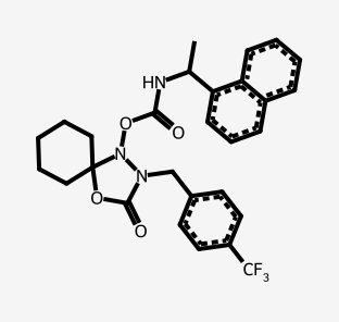 CC(NC(=O)ON1N(Cc2ccc(C(F)(F)F)cc2)C(=O)OC12CCCCC2)c1cccc2ccccc12